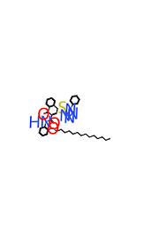 CCCCCCCCCCCCCCOc1ccccc1NC(=O)C1=CC(Sc2nnnn2-c2ccccc2)c2ccccc2C1=O